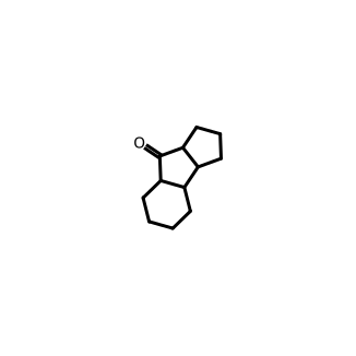 O=C1C2CCCCC2C2CCCC12